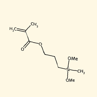 C=C(C)C(=O)OCCC[Si](C)(OC)OC